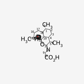 C[C@@H]1CCC2[C@@H](C)/C(=N/CC(=O)O)O[C@@H]3O[C@]4(C)CCC1[C@@]23OO4